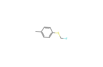 Cc1ccc(SCF)cc1